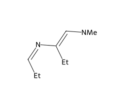 CC/C=N\C(=C\NC)CC